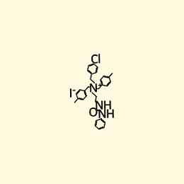 Cc1ccc(C[N+](CCCNC(=O)Nc2ccccc2)(CCc2ccc(Cl)cc2)Cc2ccc(C)cc2)cc1.[I-]